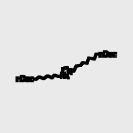 CCCCCCCCCCCCCCCCCCN1C=CN(CCCCCCCCCCCCCCCCC)C1C